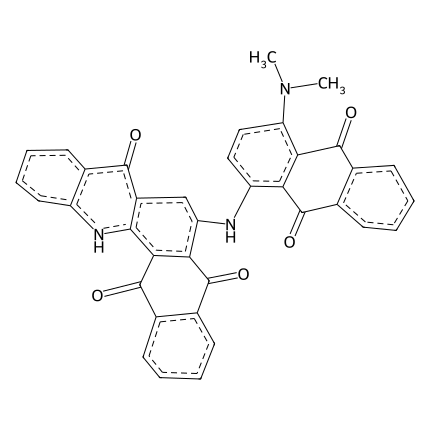 CN(C)c1ccc(Nc2cc3c(=O)c4ccccc4[nH]c3c3c2C(=O)c2ccccc2C3=O)c2c1C(=O)c1ccccc1C2=O